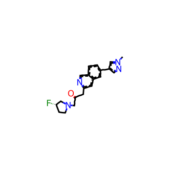 Cn1cc(-c2ccc3cnc(CC(=O)CN4CC[C@H](F)C4)cc3c2)cn1